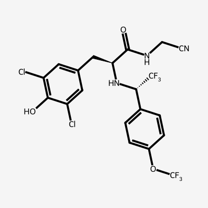 N#CCNC(=O)[C@H](Cc1cc(Cl)c(O)c(Cl)c1)N[C@@H](c1ccc(OC(F)(F)F)cc1)C(F)(F)F